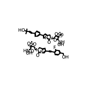 CC(C)(O)C#Cc1ccc(-c2cc3n(c2)C(=O)N(CC[C@](C)(C(=O)NO)S(C)(=O)=O)C3)cc1.C[C@@](CCN1Cc2cc(C#Cc3ccc(CO)cc3F)cn2C1=O)(C(=O)NO)S(C)(=O)=O